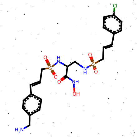 NCc1ccc(C=CCS(=O)(=O)NC(CNS(=O)(=O)CC=Cc2ccc(Cl)cc2)C(=O)NO)cc1